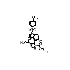 CCOC(=O)c1[nH]cc(C(C)C)c1-c1c(Cl)ccc2c1ccn2S(=O)(=O)c1ccc(C)cc1